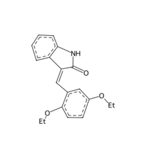 CCOc1ccc(OCC)c(C=C2C(=O)Nc3ccccc32)c1